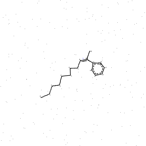 CCCCCCCC/C=C(/C)c1ccccc1